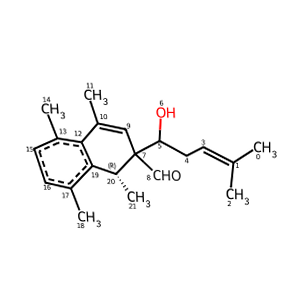 CC(C)=CCC(O)C1(C=O)C=C(C)c2c(C)ccc(C)c2[C@H]1C